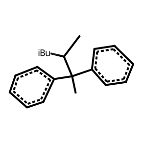 CCC(C)C(C)C(C)(c1ccccc1)c1ccccc1